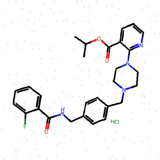 CC(C)OC(=O)c1cccnc1N1CCN(Cc2ccc(CNC(=O)c3ccccc3F)cc2)CC1.Cl